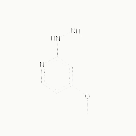 COc1ccnc(NN)c1